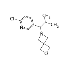 CC(C)C(c1ccc(Cl)nc1)N1CC2(COC2)C1